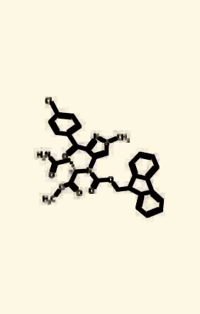 COC(=O)[C@H](CC(N)=O)N(C(=O)OCC1c2ccccc2-c2ccccc21)c1cn(C)nc1C(=O)c1ccc(Cl)cc1